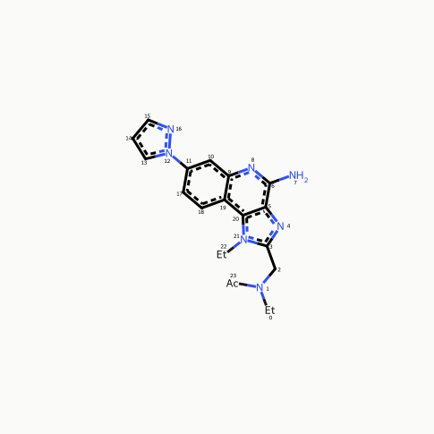 CCN(Cc1nc2c(N)nc3cc(-n4cccn4)ccc3c2n1CC)C(C)=O